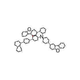 c1ccc(N(c2ccc(-c3ccc(-c4cccc5ccccc45)cc3)cc2)c2ccc(-c3ccc4oc5ccccc5c4c3)cc2)c(-c2ccc3c(c2)oc2ccccc23)c1